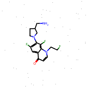 NCC1CCN(c2c(F)cc3c(=O)ccn(CCF)c3c2F)C1